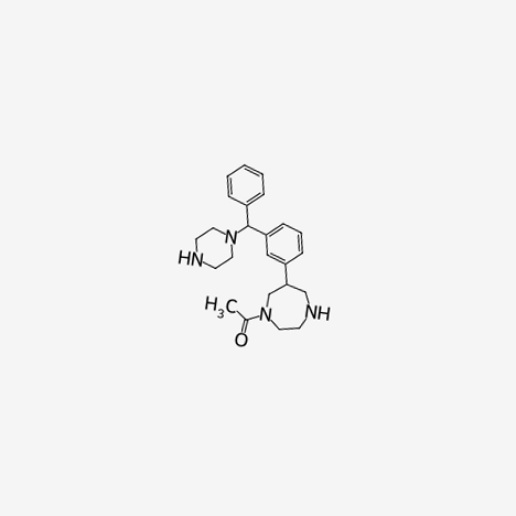 CC(=O)N1CCNCC(c2cccc(C(c3ccccc3)N3CCNCC3)c2)C1